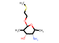 CSCCO[C@H]1OC(C)[C@H](N)[C@H](O)C1C